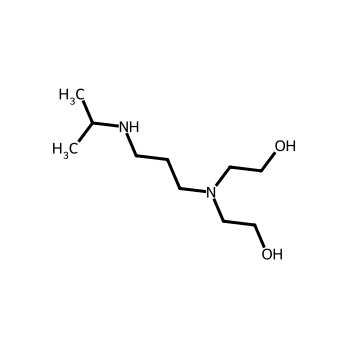 CC(C)NCCCN(CCO)CCO